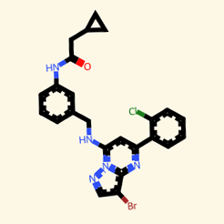 O=C(CC1CC1)Nc1cccc(CNc2cc(-c3ccccc3Cl)nc3c(Br)cnn23)c1